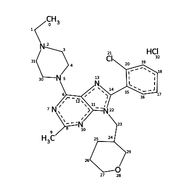 CCN1CCN(c2nc(C)nc3c2nc(-c2ccccc2Cl)n3CC2CCCOC2)CC1.Cl